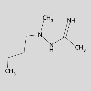 CCCCN(C)NC(C)=N